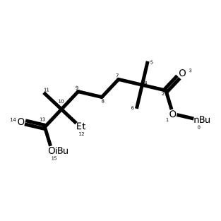 CCCCOC(=O)C(C)(C)CCCC(C)(CC)C(=O)OCC(C)C